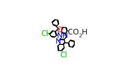 O=C(O)c1ccccc1Cc1c(Nc2ccc(Cl)cc2C(=O)c2ccccc2)nc2ccc(Cl)cc2c1-c1ccccc1